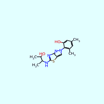 Cc1cc(C)c(-n2cc3sc(NC(C)C(C)O)nc3n2)c(O)c1